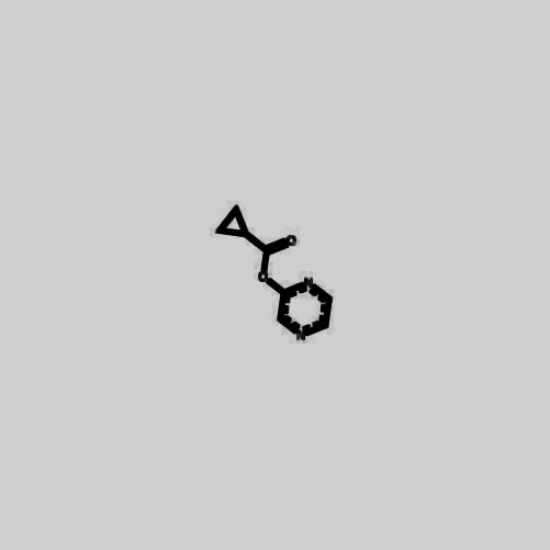 O=C(Oc1cnccn1)C1CC1